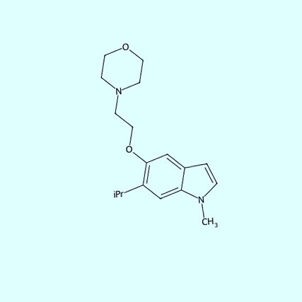 CC(C)c1cc2c(ccn2C)cc1OCCN1CCOCC1